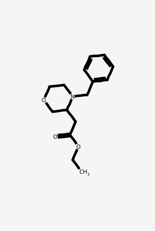 CCOC(=O)CC1COCCN1Cc1ccccc1